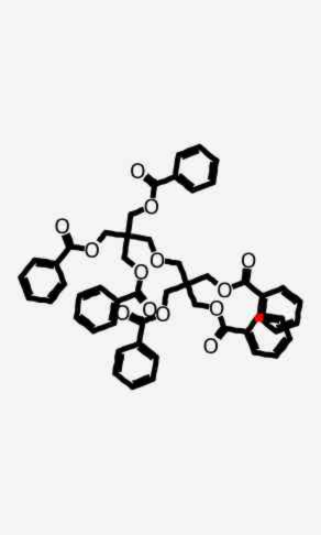 O=C(OCC(COCC(COC(=O)c1ccccc1)(COC(=O)c1ccccc1)COC(=O)c1ccccc1)(COC(=O)c1ccccc1)COC(=O)c1ccccc1)c1ccccc1